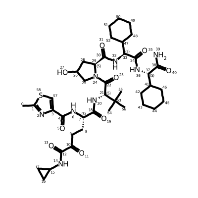 Cc1nc(C(=O)N[C@@H](CCC(=O)C(=O)NC2CC2)C(=O)N[C@H](C(=O)N2CC(O)C[C@H]2C(=O)N[C@H](C(=O)N[C@H](C(N)=O)C2CCCCC2)C2CCCCC2)C(C)(C)C)cs1